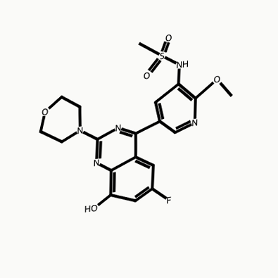 COc1ncc(-c2nc(N3CCOCC3)nc3c(O)cc(F)cc23)cc1NS(C)(=O)=O